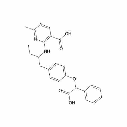 CCC(Cc1ccc(OC(C(=O)O)c2ccccc2)cc1)Nc1nc(C)ncc1C(=O)O